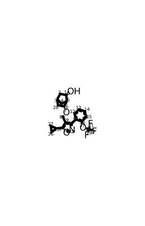 OC1CC2CC1[C@@H](OCc1c(-c3ccccc3OC(F)(F)F)noc1C1CC1)C2